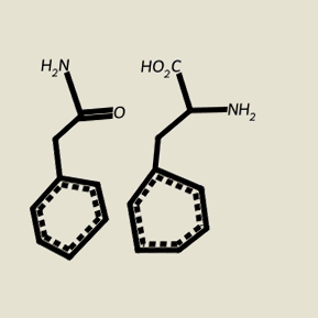 NC(=O)Cc1ccccc1.NC(Cc1ccccc1)C(=O)O